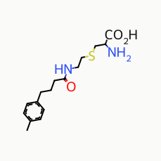 Cc1ccc(CCCC(=O)NCCSCC(N)C(=O)O)cc1